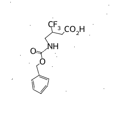 O=C(O)CC(CNC(=O)OCc1ccccc1)C(F)(F)F